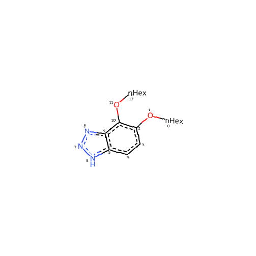 CCCCCCOc1ccc2[nH]nnc2c1OCCCCCC